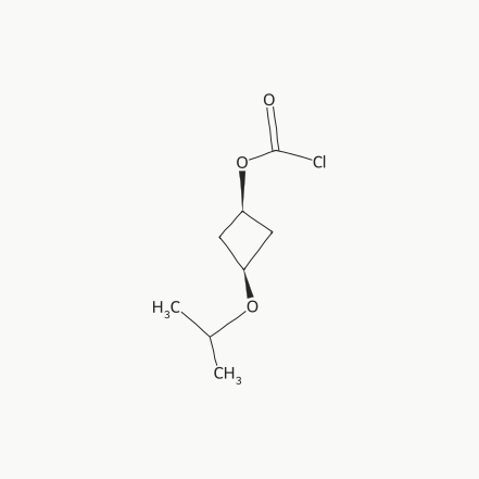 CC(C)O[C@H]1C[C@@H](OC(=O)Cl)C1